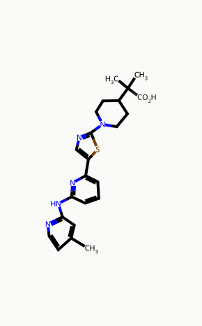 Cc1ccnc(Nc2cccc(-c3cnc(N4CCC(C(C)(C)C(=O)O)CC4)s3)n2)c1